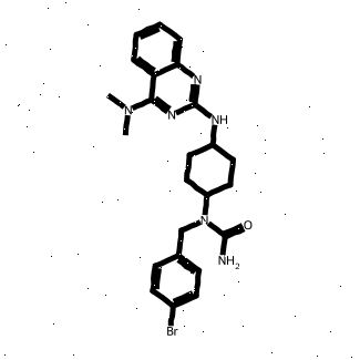 CN(C)c1nc(NC2CCC(N(Cc3ccc(Br)cc3)C(N)=O)CC2)nc2ccccc12